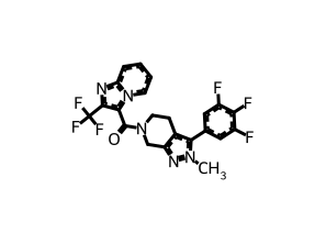 Cn1nc2c(c1-c1cc(F)c(F)c(F)c1)CCN(C(=O)c1c(C(F)(F)F)nc3ccccn13)C2